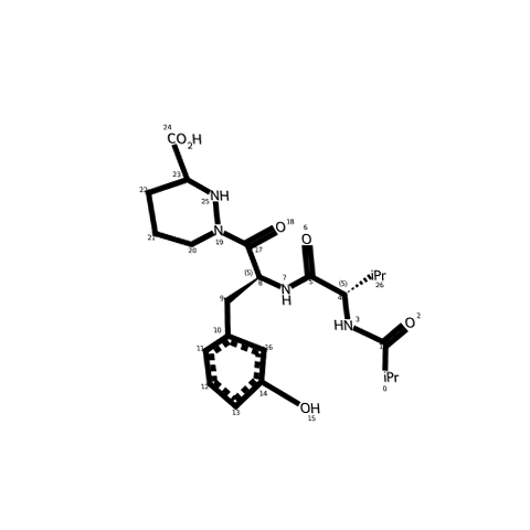 CC(C)C(=O)N[C@H](C(=O)N[C@@H](Cc1cccc(O)c1)C(=O)N1CCCC(C(=O)O)N1)C(C)C